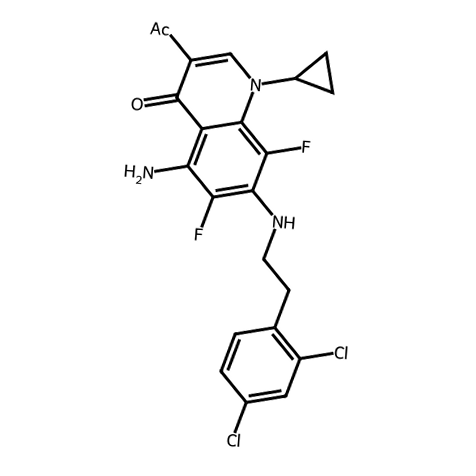 CC(=O)c1cn(C2CC2)c2c(F)c(NCCc3ccc(Cl)cc3Cl)c(F)c(N)c2c1=O